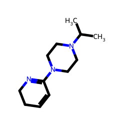 CC(C)N1CCN(C2=NCCC=C2)CC1